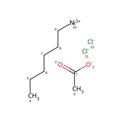 CC(=O)[O-].CCCCC[CH2][Ni+3].[Cl-].[Cl-]